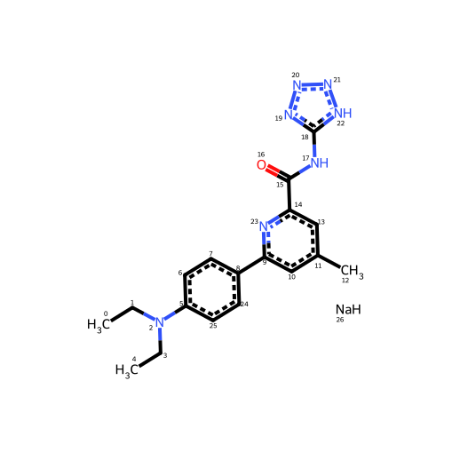 CCN(CC)c1ccc(-c2cc(C)cc(C(=O)Nc3nnn[nH]3)n2)cc1.[NaH]